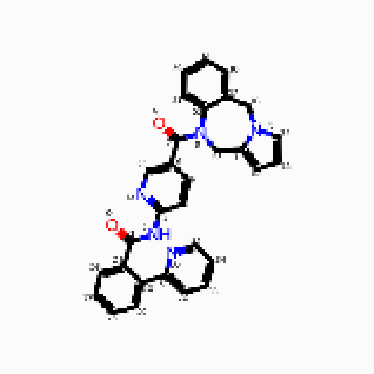 O=C(Nc1ccc(C(=O)N2Cc3cccn3Cc3ccccc32)cn1)c1ccccc1-c1ccccn1